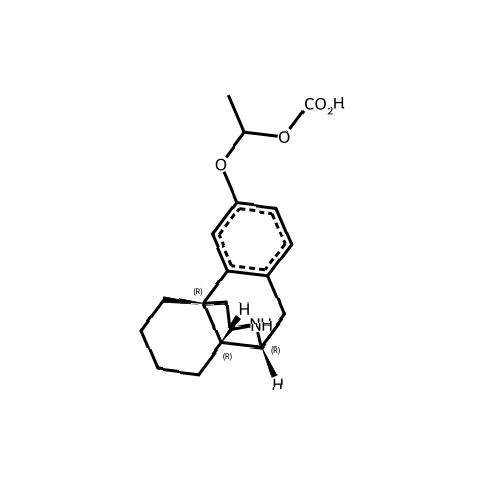 CC(OC(=O)O)Oc1ccc2c(c1)[C@@]13CCCC[C@H]1[C@@H](C2)NCC3